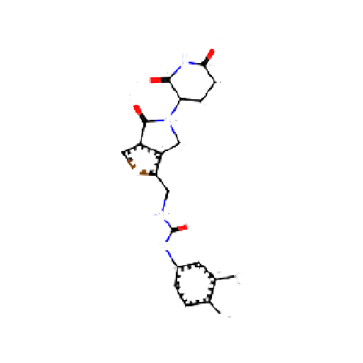 Cc1ccc(NC(=O)NCc2scc3c2CN(C2CCC(=O)NC2=O)C3=O)cc1C(C)C